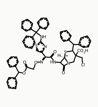 O=C(CON=C(C(=O)NC1C(=O)N2CC(CCl)(C(=O)O)C(C(c3ccccc3)c3ccccc3)S[C@H]12)c1csc(NC(c2ccccc2)(c2ccccc2)c2ccccc2)n1)OC(c1ccccc1)c1ccccc1